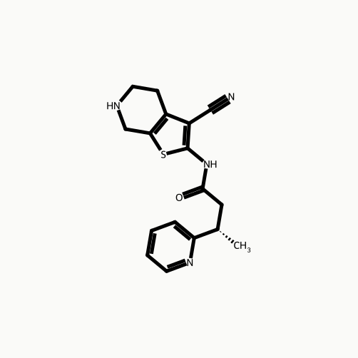 C[C@@H](CC(=O)Nc1sc2c(c1C#N)CCNC2)c1ccccn1